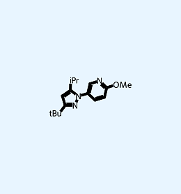 COc1ccc(-n2nc(C(C)(C)C)cc2C(C)C)cn1